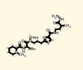 CCCCCCN(CCCc1nc(C(=O)NCCC(C)C(=O)NN)cs1)C(=O)C(NC(=O)C1CCCCN1C)C(C)CC